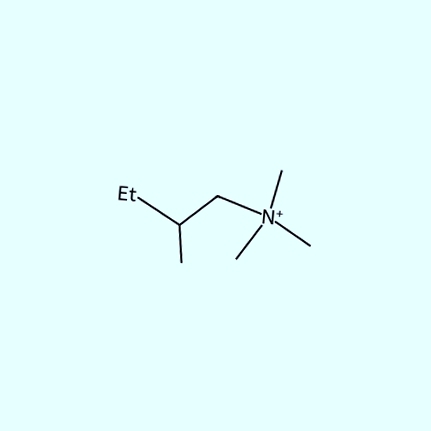 CCC(C)C[N+](C)(C)C